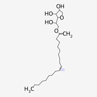 C=C(CCCCCCC/C=C\CCCCCCCC)OCC(O)C1OCC(O)C1O